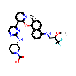 COC(CNc1cccc2c(Oc3ncccc3-c3ccnc(N[C@H]4CCCN(C(=O)O)C4)n3)c(C)ccc12)C(F)(F)F